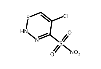 O=[N+]([O-])S(=O)(=O)C1=NNSC=C1Cl